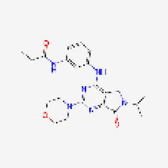 CCC(=O)Nc1cccc(Nc2nc(N3CCOCC3)nc3c2CN(C(C)C)C3=O)c1